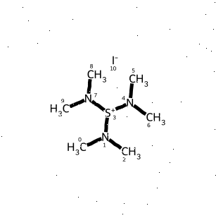 CN(C)[S+](N(C)C)N(C)C.[I-]